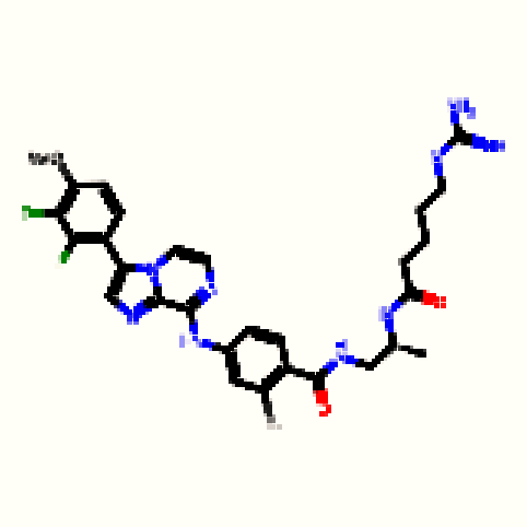 CCc1cc(Nc2nccn3c(-c4ccc(OC)c(F)c4F)cnc23)ccc1C(=O)NC[C@H](C)NC(=O)CCCCNC(=N)N